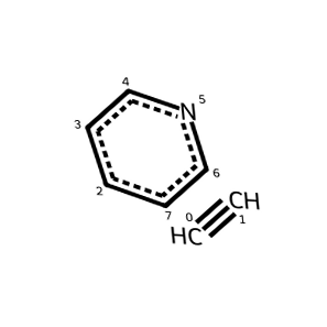 C#C.c1ccncc1